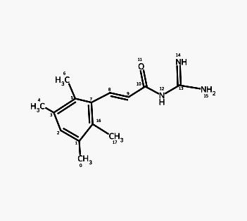 Cc1cc(C)c(C)c(C=CC(=O)NC(=N)N)c1C